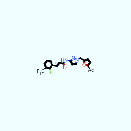 CC(=O)c1ccc(Cn2ccc(NC(=O)/C=C/c3cccc(C(F)(F)F)c3F)n2)o1